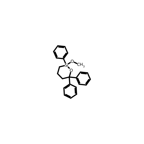 CO[Si]1(c2ccccc2)CCCC(c2ccccc2)(c2ccccc2)O1